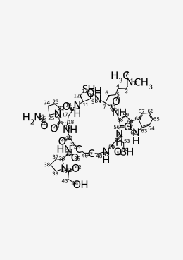 CN(C)CCCC[C@@H]1NC(O)[C@H](CS)NC(=O)C[C@@H](C(=O)N2CCC[C@H]2C(N)=O)NC(=O)[C@@H](NC(=O)[C@@H]2CCCN2C(=O)CO)CCCCNC(=O)[C@H](CS)NC(=O)[C@H](Cc2c[nH]c3ccccc23)NC1=O